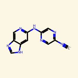 [C-]#[N+]c1cnc(Nc2cc3[nH]cnc3cn2)cn1